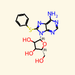 Nc1ncnc2c1nc(Sc1ccccc1)n2[C@@H]1O[C@H](CO)C(O)C1O